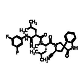 CC(C)C[C@H](C(=O)Nc1cc(F)cc(F)c1)C(=O)N(C)[C@@H](CC(C)C)C(=O)N1C[C@]2(C[C@H]1C#N)C(=O)Nc1ccccc12